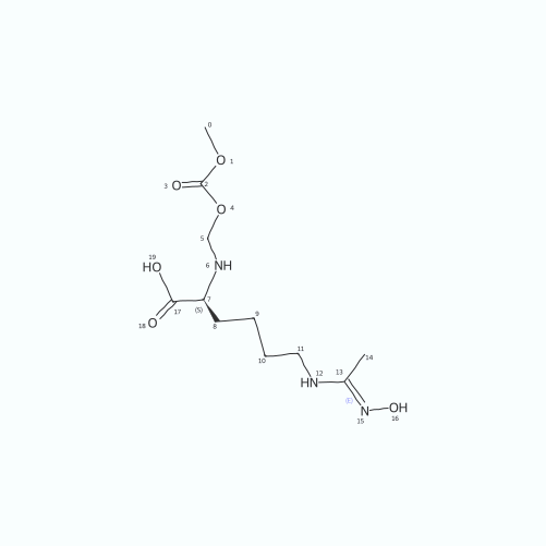 COC(=O)OCN[C@@H](CCCCN/C(C)=N/O)C(=O)O